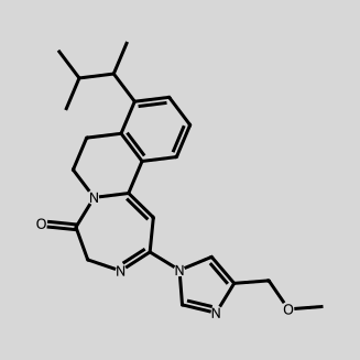 COCc1cn(C2=NCC(=O)N3CCc4c(cccc4C(C)C(C)C)C3=C2)cn1